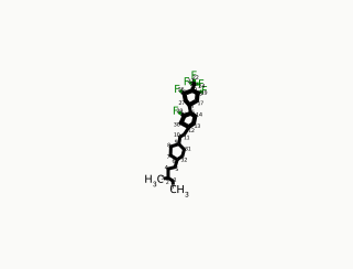 CCC(C)CCC1CCC(CCc2ccc(-c3cc(F)c(C(F)(F)F)c(F)c3)c(F)c2)CC1